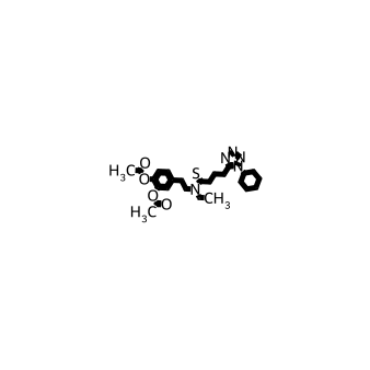 CCN(CCc1ccc(OC(C)=O)c(OC(C)=O)c1)C(=S)CCCc1nnnn1C1CCCCC1